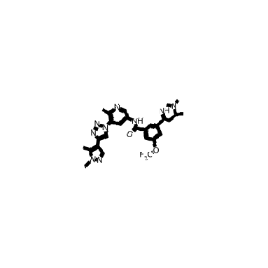 Cc1ncc(NC(=O)c2cc(OC(F)(F)F)cc(C(=N)CC(C)N(C)C)c2)cc1-n1cc(-c2cnn(C)c2C)nn1